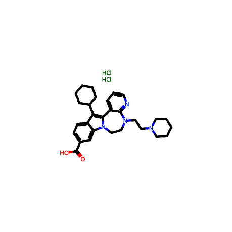 Cl.Cl.O=C(O)c1ccc2c(C3CCCCC3)c3n(c2c1)CCN(CCN1CCCCC1)c1ncccc1-3